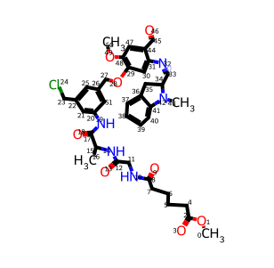 COC(=O)CCCCC(=O)NCC(=O)NC(C)C(=O)Nc1cc(CCl)cc(COc2cc(/N=C\C3Cc4ccccc4N3C)c(C=O)cc2OC)c1